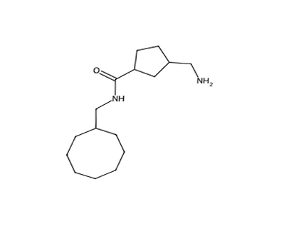 NCC1CCC(C(=O)NCC2CCCCCCC2)C1